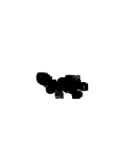 CN1C(=O)C(NC(=S)Nc2ccc(N3CCOCC3)c3ccccc23)N=C(c2ccccc2)c2cc(Cl)ccc21